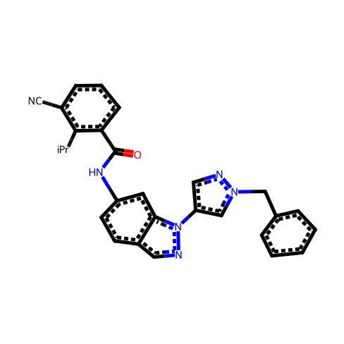 CC(C)c1c(C#N)cccc1C(=O)Nc1ccc2cnn(-c3cnn(Cc4ccccc4)c3)c2c1